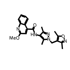 COc1cc(C(=O)Nc2c(C)nn(Cc3c(C)noc3C)c2C)c2ccccc2n1